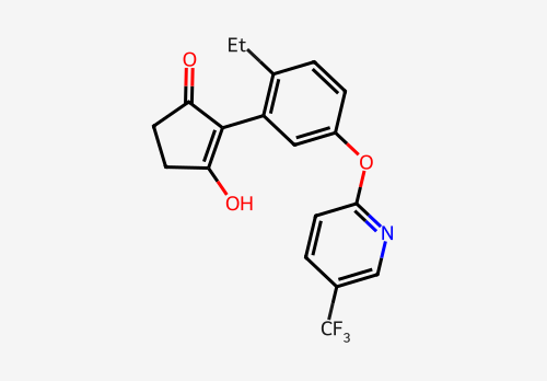 CCc1ccc(Oc2ccc(C(F)(F)F)cn2)cc1C1=C(O)CCC1=O